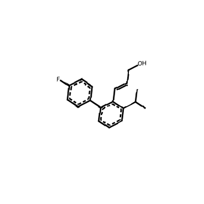 CC(C)c1cccc(-c2ccc(F)cc2)c1C=CCO